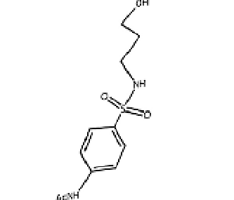 CC(=O)Nc1ccc(S(=O)(=O)NCCCO)cc1